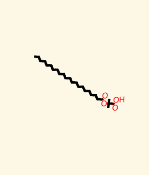 CCCCCCCCCCCCCCCCCCCCCC(=O)OC(C)(C)C(=O)O